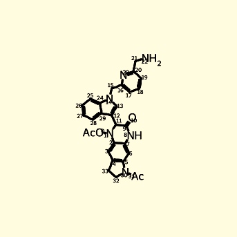 CC(=O)ON1c2cc3c(cc2NC(=O)C1c1cn(Cc2cccc(CN)n2)c2ccccc12)N(C(C)=O)CC3